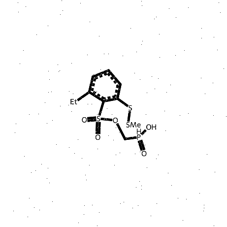 CCc1cccc(SSC)c1S(=O)(=O)OC[PH](=O)O